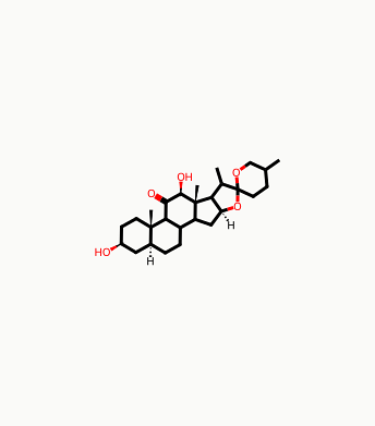 CC1CCC2(OC1)O[C@H]1CC3C4CC[C@H]5C[C@@H](O)CC[C@]5(C)C4C(=O)[C@@H](O)[C@]3(C)C1C2C